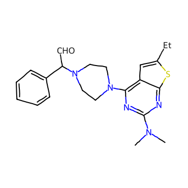 CCc1cc2c(N3CCN(C(C=O)c4ccccc4)CC3)nc(N(C)C)nc2s1